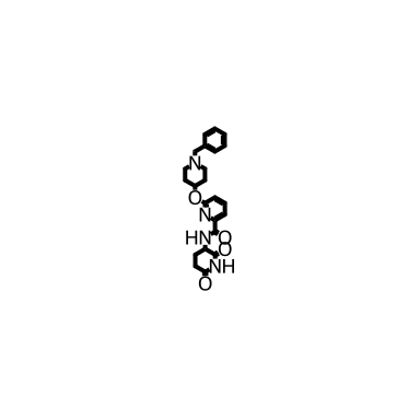 O=C1CCC(NC(=O)c2cccc(OC3CCN(Cc4ccccc4)CC3)n2)C(=O)N1